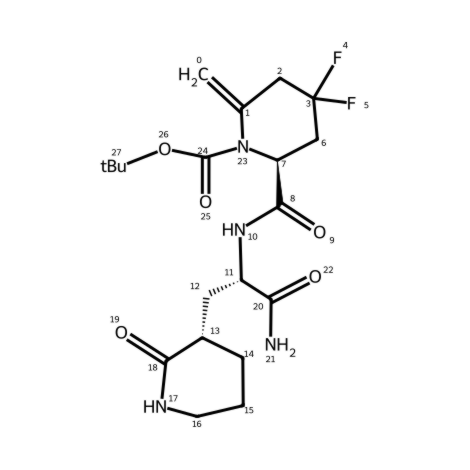 C=C1CC(F)(F)C[C@@H](C(=O)N[C@@H](C[C@@H]2CCCNC2=O)C(N)=O)N1C(=O)OC(C)(C)C